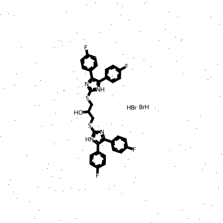 Br.Br.OC(CSc1nc(-c2ccc(F)cc2)c(-c2ccc(F)cc2)[nH]1)CSc1nc(-c2ccc(F)cc2)c(-c2ccc(F)cc2)[nH]1